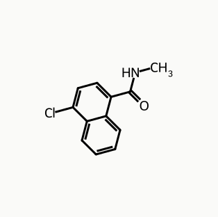 CNC(=O)c1ccc(Cl)c2ccccc12